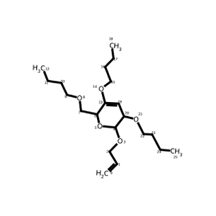 C=CCOC1OC(COCCCC)C(OCCCC)=CC1OCCCC